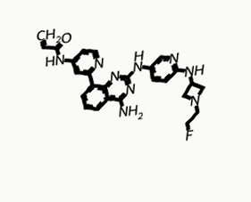 C=CC(=O)Nc1ccnc(-c2cccc3c(N)nc(Nc4ccc(NC5CN(CCF)C5)nc4)nc23)c1